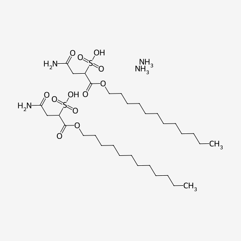 CCCCCCCCCCCCOC(=O)C(CC(N)=O)S(=O)(=O)O.CCCCCCCCCCCCOC(=O)C(CC(N)=O)S(=O)(=O)O.N.N